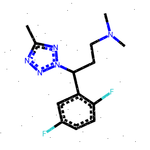 Cc1nnn(C(CCN(C)C)c2cc(F)ccc2F)n1